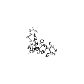 O=C(c1nc(-c2c(F)cccc2F)ncc1O)N(c1cccnc1)C1CCC2CCCC2O1